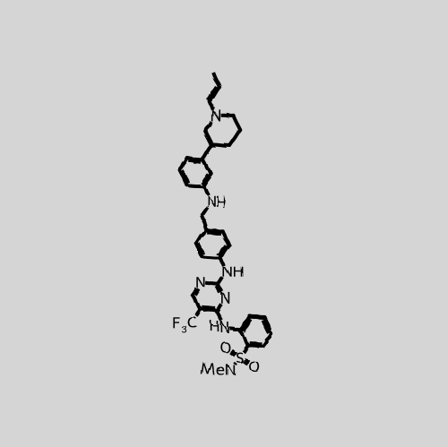 CC=CN1CCCC(c2cccc(NCc3ccc(Nc4ncc(C(F)(F)F)c(Nc5ccccc5S(=O)(=O)NC)n4)cc3)c2)C1